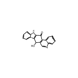 O=C1c2[nH]c3ccccc3c2C(O)c2cnc3ccccc3c21